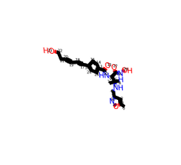 Cc1cc(CNC(C)(C)[C@H](NC(=O)c2ccc(C#CC#CCCO)cc2)C(=O)NO)no1